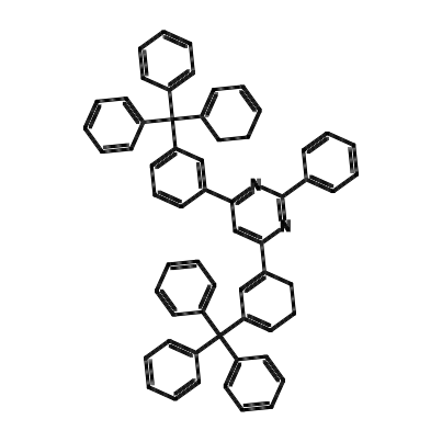 C1=CCCC(C(c2ccccc2)(c2ccccc2)c2cccc(-c3cc(C4=CC(C(c5ccccc5)(c5ccccc5)c5ccccc5)=CCC4)nc(-c4ccccc4)n3)c2)=C1